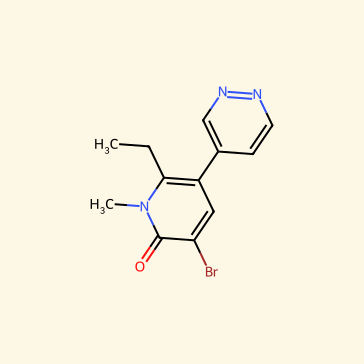 CCc1c(-c2ccnnc2)cc(Br)c(=O)n1C